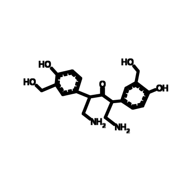 NCC(C(=O)C(CN)c1ccc(O)c(CO)c1)c1ccc(O)c(CO)c1